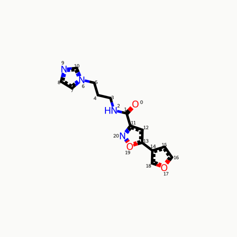 O=C(NCCCn1ccnc1)c1cc(-c2ccoc2)on1